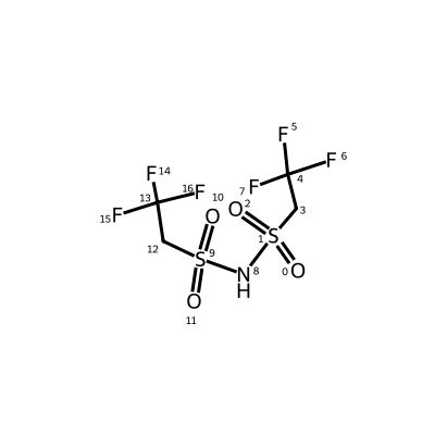 O=S(=O)(CC(F)(F)F)NS(=O)(=O)CC(F)(F)F